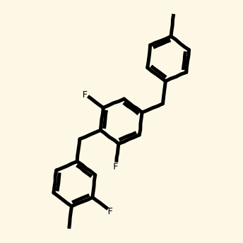 Cc1ccc(Cc2cc(F)c(Cc3ccc(C)c(F)c3)c(F)c2)cc1